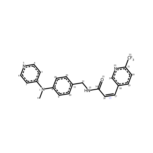 CN(c1ccncc1)c1ccc(CNC(=O)/C=C\c2ccc(C(F)(F)F)nc2)cc1